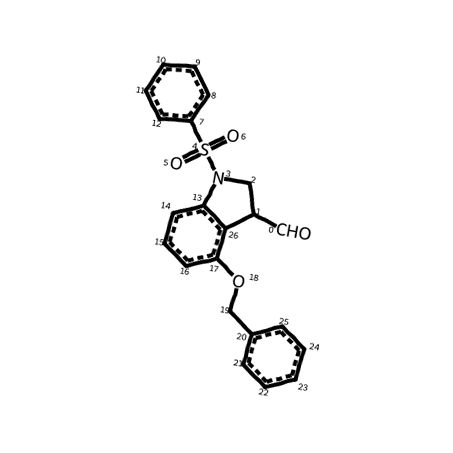 O=CC1CN(S(=O)(=O)c2ccccc2)c2cccc(OCc3ccccc3)c21